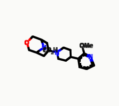 COc1ncccc1C1CCN(C2CC3COCC(C2)N3C(=O)O)CC1